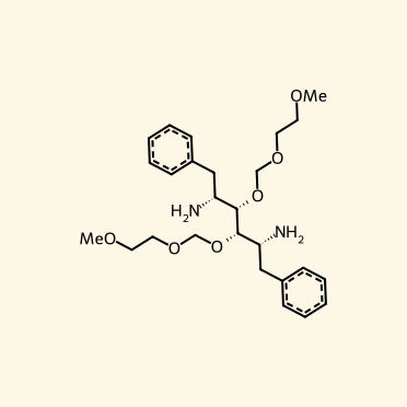 COCCOCO[C@H]([C@@H](OCOCCOC)[C@H](N)Cc1ccccc1)[C@H](N)Cc1ccccc1